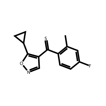 Cc1cc(F)ccc1C(=S)c1cnoc1C1CC1